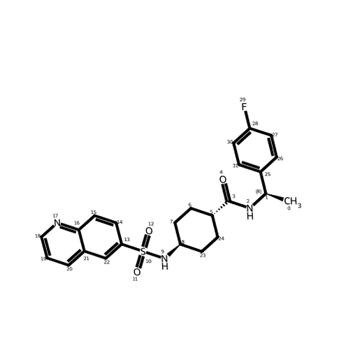 C[C@@H](NC(=O)[C@H]1CC[C@H](NS(=O)(=O)c2ccc3ncccc3c2)CC1)c1ccc(F)cc1